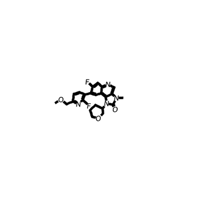 COCc1ccc(-c2cc3c(cc2F)ncc2c3n(C3CCCOC3)c(=O)n2C)c(F)n1